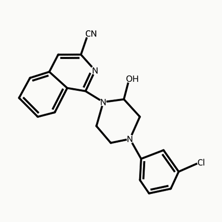 N#Cc1cc2ccccc2c(N2CCN(c3cccc(Cl)c3)CC2O)n1